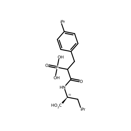 CC(C)C[C@H](NC(=O)C(Cc1ccc(C(C)C)cc1)P(=O)(O)O)C(=O)O